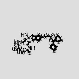 CC(C)(C)OC(=O)NCCN(CCNC(=O)OC(C)(C)C)C(=N)N1Cc2ccc(OCCC(=O)OC(c3ccccc3)c3ccccc3)cc2C1